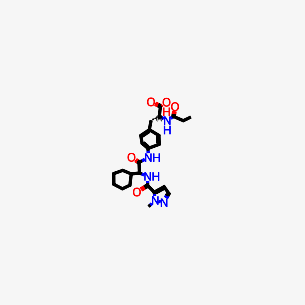 CCC(=O)N[C@H](Cc1ccc(NC(=O)C(NC(=O)c2ccnn2C)C2CCCCC2)cc1)C(=O)O